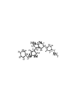 NCc1ccc(-c2cnc3[nH]cc(-c4cnn(Cc5ccccc5)c4)c3c2)cc1